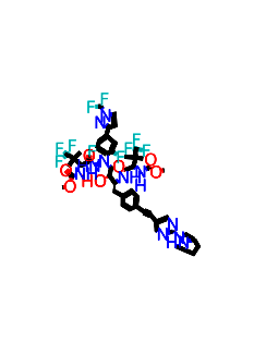 COC(=O)NC(C(=O)N[C@@H](Cc1ccc(C#Cc2cnc(N3CC4CCC(C3)N4)nc2)cc1)[C@@H](O)CN(NC(=O)[C@@H](NC(=O)OC)C(C)(C)C(F)(F)F)c1c(F)cc(-c2ccn(C(F)F)n2)cc1F)C(C)(C)C(F)(F)F